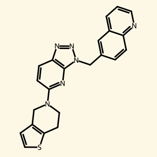 c1cnc2ccc(Cn3nnc4ccc(N5CCc6sccc6C5)nc43)cc2c1